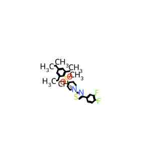 CC(C)c1cc(C(C)C)c(S(=O)(=O)C2CCN(c3nc(-c4ccc(F)c(F)c4)cs3)CC2)c(C(C)C)c1